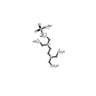 CCS(=O)(=O)[O-].O=C(O)CN(CCN(CC(=O)O)CC(=O)O)CC(=O)O.[Na+]